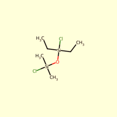 CC[Si](Cl)(CC)O[Si](C)(C)Cl